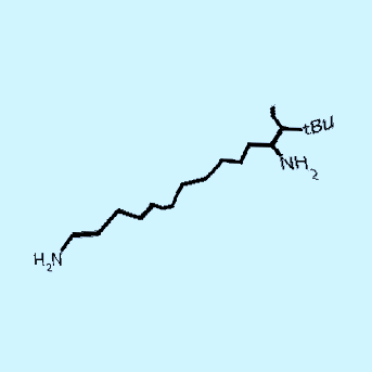 CC(C(N)CCCCCCCCCCCN)C(C)(C)C